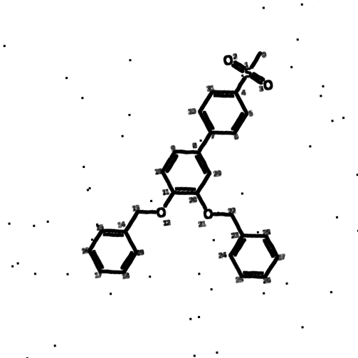 CS(=O)(=O)c1ccc(-c2ccc(OCc3ccccc3)c(OCc3ccccc3)c2)cc1